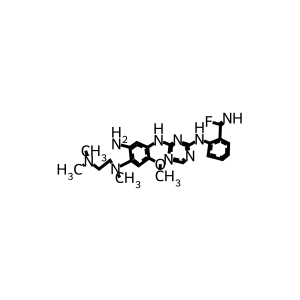 COc1cc(N(C)CCN(C)C)c(N)cc1Nc1ncnc(Nc2ccccc2C(=N)F)n1